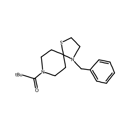 CC(C)(C)C(=O)N1CCC2(CC1)SCCN2Cc1ccccc1